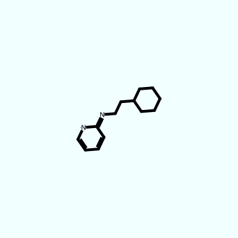 C1=C[N]C(=NCCC2CCCCC2)C=C1